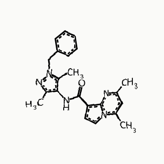 Cc1cc(C)n2ccc(C(=O)Nc3c(C)nn(Cc4ccccc4)c3C)c2n1